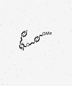 COCCN1CCN(CCCOCC2CN(CCCN3CCN(C)CC3)CCN2C)CC1